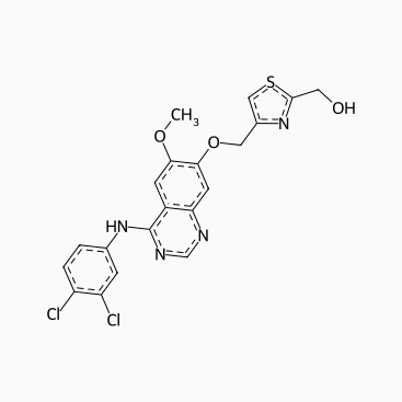 COc1cc2c(Nc3ccc(Cl)c(Cl)c3)ncnc2cc1OCc1csc(CO)n1